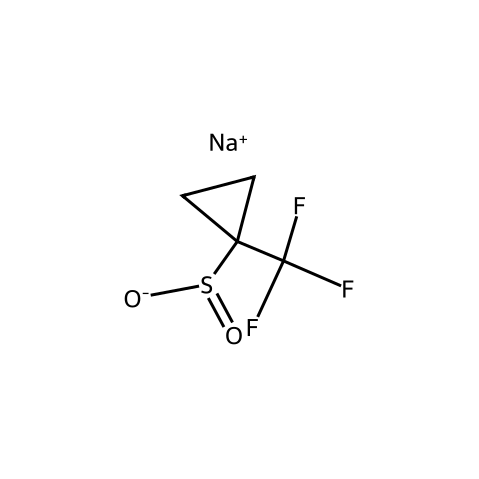 O=S([O-])C1(C(F)(F)F)CC1.[Na+]